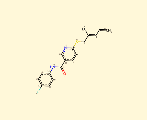 C=C/C=C(\CC)CSc1ccc(C(=O)Nc2ccc(F)cc2)cn1